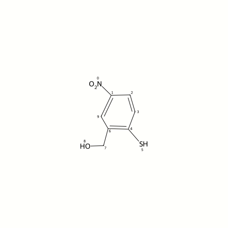 O=[N+]([O-])c1ccc(S)c(CO)c1